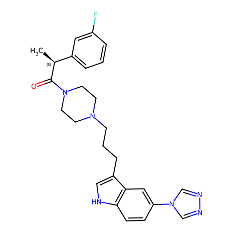 C[C@H](C(=O)N1CCN(CCCc2c[nH]c3ccc(-n4cnnc4)cc23)CC1)c1cccc(F)c1